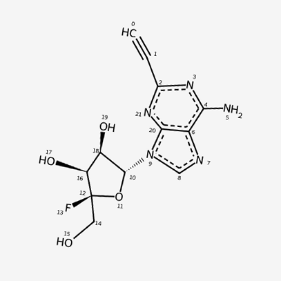 C#Cc1nc(N)c2ncn([C@@H]3O[C@](F)(CO)[C@@H](O)[C@H]3O)c2n1